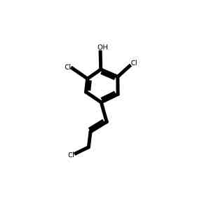 Oc1c(Cl)cc(/C=C/CCl)cc1Cl